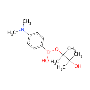 CN(C)c1ccc(B(O)OC(C)(C)C(C)(C)O)cc1